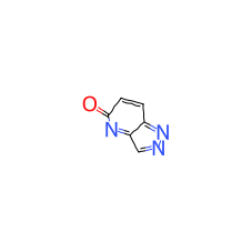 O=C1C=CC2=NN=CC2=N1